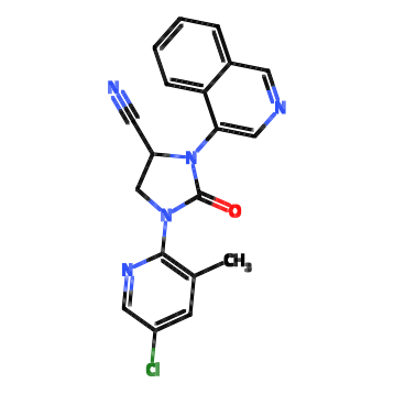 Cc1cc(Cl)cnc1N1CC(C#N)N(c2cncc3ccccc23)C1=O